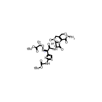 CC[C@H](O/N=C(\C(=O)N[C@@H]1C(=O)N2C(C(=O)OP)=C(CCl)C[S+]([O-])[C@H]12)c1csc(NC(=O)OC(C)(C)C)n1)C(=O)OC(C)(C)C